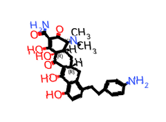 CN(C)[C@@H]1C(=O)C(C(N)=O)=C(O)[C@@]2(O)C(=O)C3=C(O)c4c(O)ccc(CCc5ccc(N)cc5)c4C[C@H]3C[C@@H]12